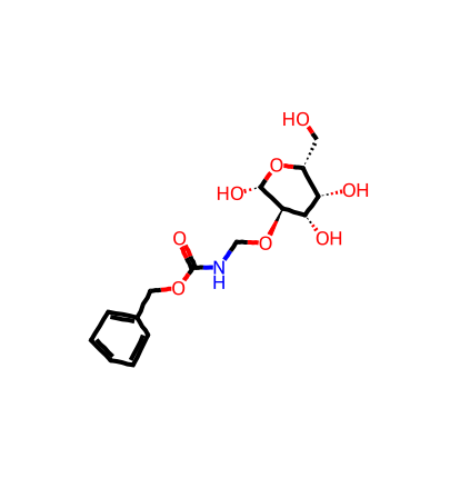 O=C(NCO[C@@H]1[C@@H](O)[C@@H](O)[C@@H](CO)O[C@H]1O)OCc1ccccc1